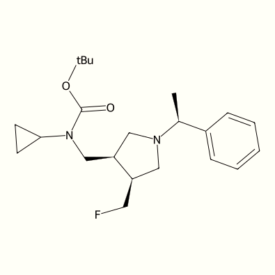 C[C@@H](c1ccccc1)N1C[C@@H](CF)[C@@H](CN(C(=O)OC(C)(C)C)C2CC2)C1